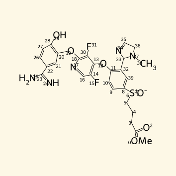 COC(=O)CCC[S+]([O-])c1ccc(Oc2c(F)cnc(Oc3cc(C(=N)N)ccc3O)c2F)c(C2N=CCN2C)c1